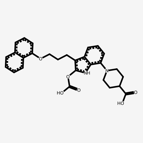 O=C(O)Oc1[nH]c2c(N3CCC(C(=O)O)CC3)cccc2c1CCCOc1cccc2ccccc12